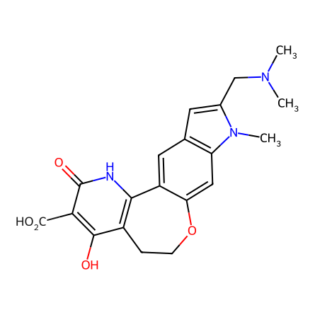 CN(C)Cc1cc2cc3c(cc2n1C)OCCc1c-3[nH]c(=O)c(C(=O)O)c1O